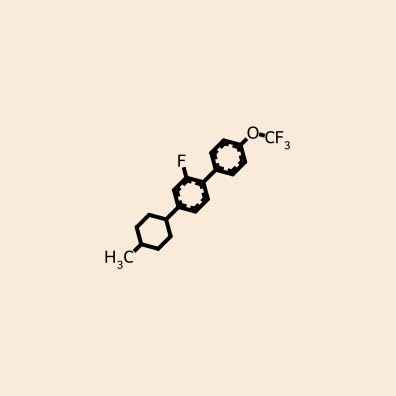 CC1CCC(c2ccc(-c3ccc(OC(F)(F)F)cc3)c(F)c2)CC1